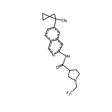 N#CC1(c2ccc3cnc(NC(=O)C4CCN(CC(F)(F)F)C4)cc3c2)CC12CC2